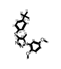 COc1ccc(OC)c(-n2nnc(Sc3ccc(C(C)(C)C)cc3)c2C)c1